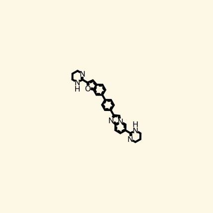 c1cc2nc(-c3ccc(-c4ccc5cc(C6=NCCCN6)oc5c4)cc3)cn2cc1C1=NCCCN1